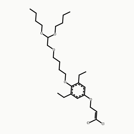 CCCCOC(COCCCCOc1c(CC)cc(OCC=C(Cl)Cl)cc1CC)OCCCC